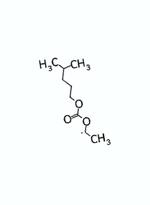 C[CH]OC(=O)OCCCC(C)C